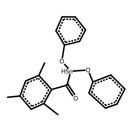 Cc1cc(C)c([C](=O)[SnH]([O]c2ccccc2)[O]c2ccccc2)c(C)c1